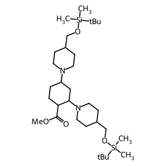 COC(=O)C1CCC(N2CCC(CO[Si](C)(C)C(C)(C)C)CC2)CC1N1CCC(CO[Si](C)(C)C(C)(C)C)CC1